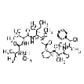 CC[C@H](C)[C@H](NC(=O)C(NC(=O)[C@@H](NC)C(C)C)C(C)C)[C@@H](CC(=O)N1CCC[C@H]1[C@H](OC)[C@@H](C)C(=O)NC(C)C(O)c1ccccc1)OC